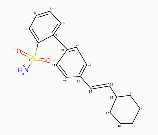 NS(=O)(=O)c1ccccc1-c1ccc(/C=C/C2CCCCC2)cc1